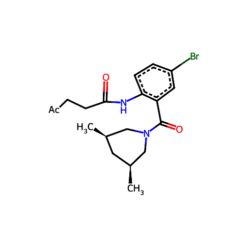 CC(=O)CCC(=O)Nc1ccc(Br)cc1C(=O)N1C[C@H](C)C[C@H](C)C1